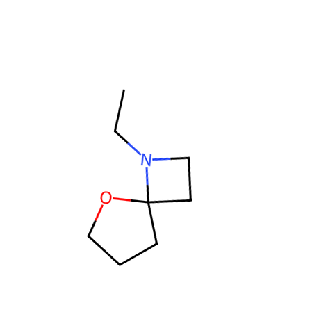 CCN1CCC12CCCO2